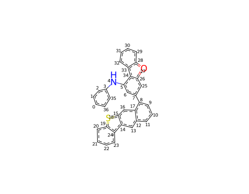 c1ccc(Nc2cc(-c3cccc4cc5c(cc34)sc3ccccc35)cc3oc4ccccc4c23)cc1